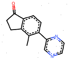 Cc1c(-c2cnccn2)ccc2c1CCC2=O